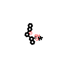 CC(C)(C)C(C)(C)OB(O)c1cc(-c2cccc3c2oc2cc4ccccc4cc23)cc2ccccc12